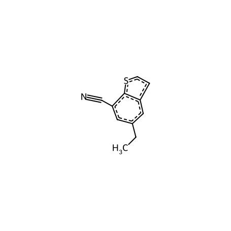 CCc1cc(C#N)c2sccc2c1